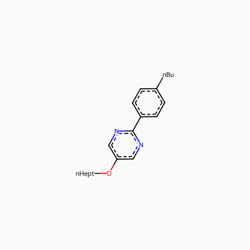 [CH2+][CH-]CCCCCOc1cnc(-c2ccc(CCCC)cc2)nc1